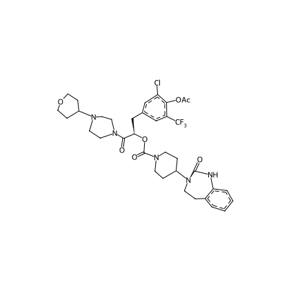 CC(=O)Oc1c(Cl)cc(C[C@@H](OC(=O)N2CCC(N3CCc4ccccc4NC3=O)CC2)C(=O)N2CCN(C3CCOCC3)CC2)cc1C(F)(F)F